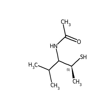 CC(=O)NC(C(C)C)[C@H](C)S